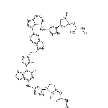 Cc1nc(Nc2cc([C@H]3CC[C@@H](OC(=O)NC45CC(C4)C5)[C@@H]3F)[nH]n2)n2ccnc2c1-c1cnn(CCn2ncc3cc(-c4cnn5ccnc(Nc6cc([C@H]7C[C@@H](F)[C@@H](OC(O)NC(C)C)C7)[nH]n6)c45)ccc32)c1C